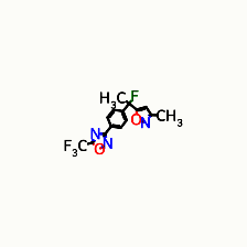 Cc1cc(C(C)(F)c2ccc(-c3noc(C(F)(F)F)n3)cc2)on1